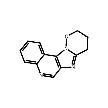 c1ccc2c(c1)ncc1nc3n(c12)OCCC3